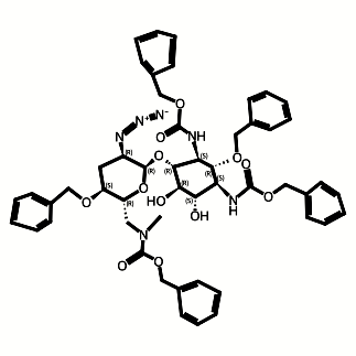 CN(C[C@H]1O[C@H](O[C@H]2[C@H](O)[C@@H](O)[C@H](NC(=O)OCc3ccccc3)[C@@H](OCc3ccccc3)[C@@H]2NC(=O)OCc2ccccc2)[C@H](N=[N+]=[N-])C[C@@H]1OCc1ccccc1)C(=O)OCc1ccccc1